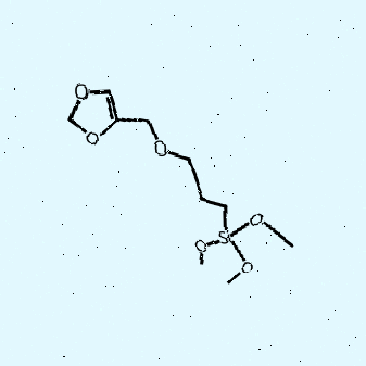 CO[Si](CCCOCC1=COCO1)(OC)OC